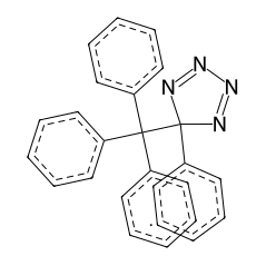 [c]1cccc(C2(C(c3ccccc3)(c3ccccc3)c3ccccc3)N=NN=N2)c1